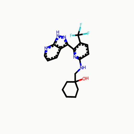 OC1(CNc2ccc(C(F)(F)F)c(-c3n[nH]c4ncccc34)n2)CCCCC1